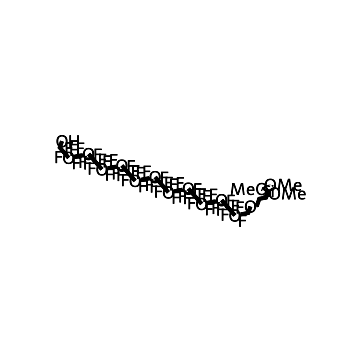 CO[Si](CCCOCC(F)(F)OC(F)(F)C(F)(F)OC(F)(F)C(F)(F)OC(F)(F)C(F)(F)OC(F)(F)C(F)(F)OC(F)(F)C(F)(F)OC(F)(F)C(F)(F)OC(F)(F)C(F)(F)OC(F)(F)C(F)(F)OC(F)(F)C(F)(F)OC(F)(F)C(F)(F)OC(F)(F)CO)(OC)OC